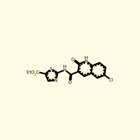 CCOC(=O)c1cnc(NC(=O)c2cc3cc(Cl)ccc3[nH]c2=O)s1